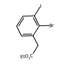 CCOC(=O)Cc1cccc(I)c1Br